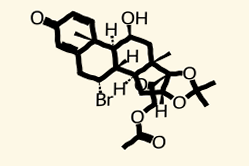 CC(=O)OCC(=O)[C@@]12OC(C)(C)O[C@@H]1C[C@H]1[C@H]3[C@H]([C@@H](O)C[C@@]12C)[C@@]1(C)C=CC(=O)C=C1C[C@H]3Br